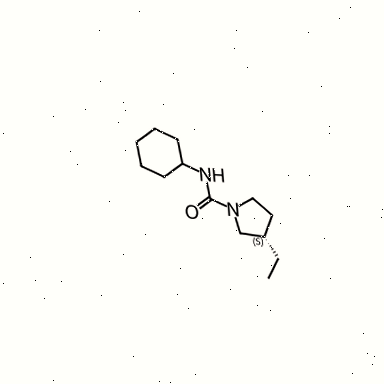 CC[C@H]1CCN(C(=O)NC2CCCCC2)C1